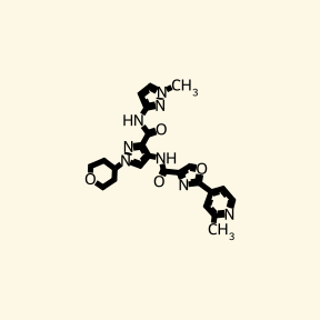 Cc1cc(-c2nc(C(=O)Nc3cn(C4CCOCC4)nc3C(=O)Nc3ccn(C)n3)co2)ccn1